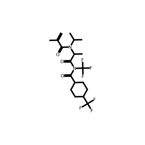 C=C(C)C(=O)N(C(C)C)C(C)C(=O)N(C(=O)C1CCC(C(F)(F)F)CC1)C(F)(F)F